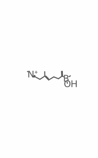 C=C(CC/C=C(\C)CC#[N+]C)B(C)O